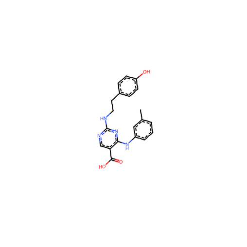 Cc1cccc(Nc2nc(NCCc3ccc(O)cc3)ncc2C(=O)O)c1